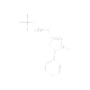 CC(NSC(C)(C)C)c1cc(-c2ccccc2)n(C)n1